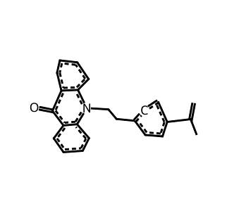 C=C(C)c1ccc(CCn2c3ccccc3c(=O)c3ccccc32)cc1